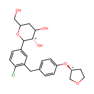 OCC1CC(O)[C@H](O)C(c2ccc(Cl)c(Cc3ccc(O[C@H]4CCOC4)cc3)c2)O1